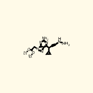 CCOC(Cn1cnc2c(C(C#CNN)C3CC3)nc(N)nc21)OCC